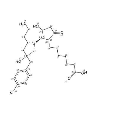 CCCCCC(O)(CS[C@H]1C(O)CC(=O)[C@@H]1CCCCCCC(=O)O)Cc1ccc(Cl)cc1